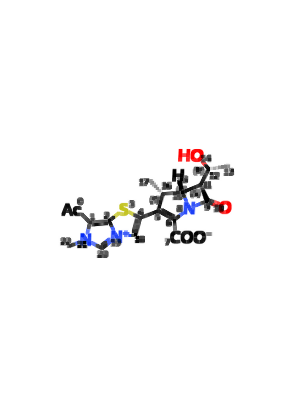 CC(=O)c1c2sc(C3=C(C(=O)[O-])N4C(=O)[C@H]([C@@H](C)O)[C@H]4[C@H]3C)c[n+]2cn1C